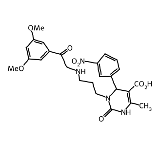 COc1cc(OC)cc(C(=O)CNCCCN2C(=O)NC(C)=C(C(=O)O)C2c2cccc([N+](=O)[O-])c2)c1